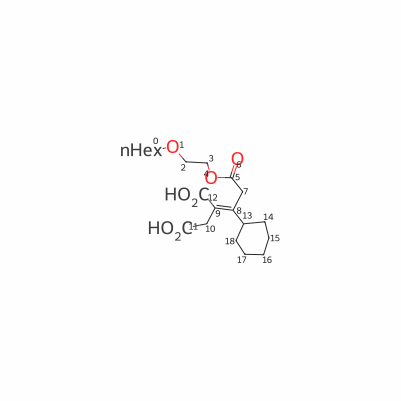 CCCCCCOCCOC(=O)CC(=C(CC(=O)O)C(=O)O)C1CCCCC1